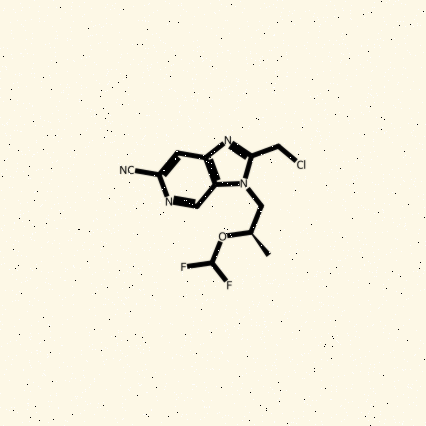 C[C@H](Cn1c(CCl)nc2cc(C#N)ncc21)OC(F)F